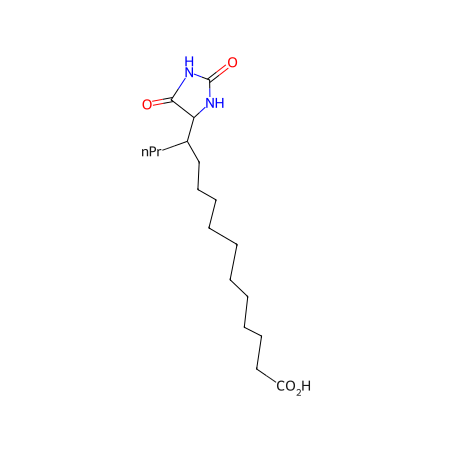 CCCC(CCCCCCCCCCC(=O)O)C1NC(=O)NC1=O